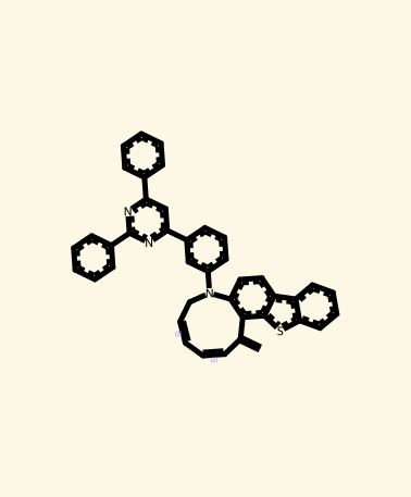 C=C1/C=C\C=C/CN(c2cccc(-c3cc(-c4ccccc4)nc(-c4ccccc4)n3)c2)c2ccc3c(sc4ccccc43)c21